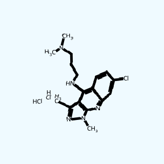 Cc1nn(C)c2nc3cc(Cl)ccc3c(NCCCN(C)C)c12.Cl.Cl